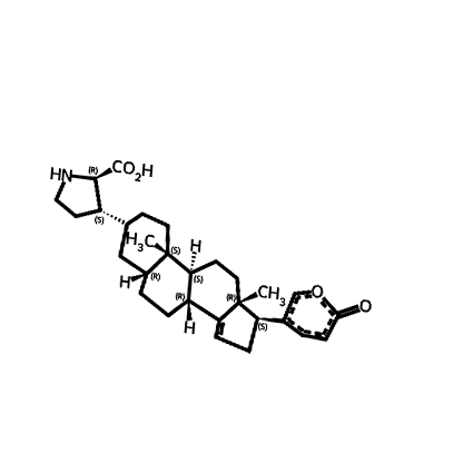 C[C@]12CCC([C@@H]3CCN[C@H]3C(=O)O)C[C@H]1CC[C@H]1C3=CC[C@H](c4ccc(=O)oc4)[C@@]3(C)CC[C@@H]12